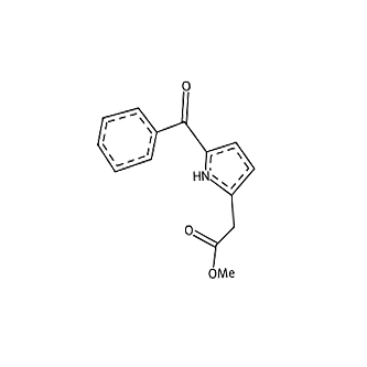 COC(=O)Cc1ccc(C(=O)c2ccccc2)[nH]1